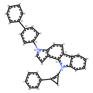 c1ccc(C2=C(n3c4ccccc4c4ccc5c(ccn5-c5ccc(-c6ccccc6)cc5)c43)C2)cc1